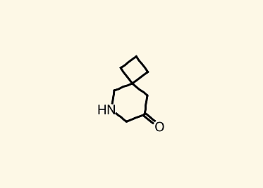 O=C1CNCC2(CCC2)C1